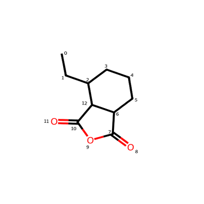 CCC1CCCC2C(=O)OC(=O)C12